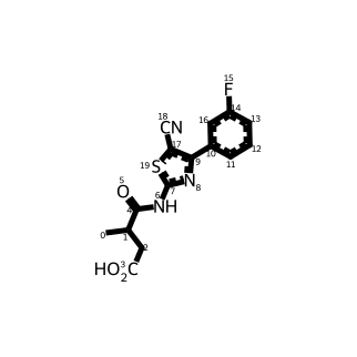 CC(CC(=O)O)C(=O)Nc1nc(-c2cccc(F)c2)c(C#N)s1